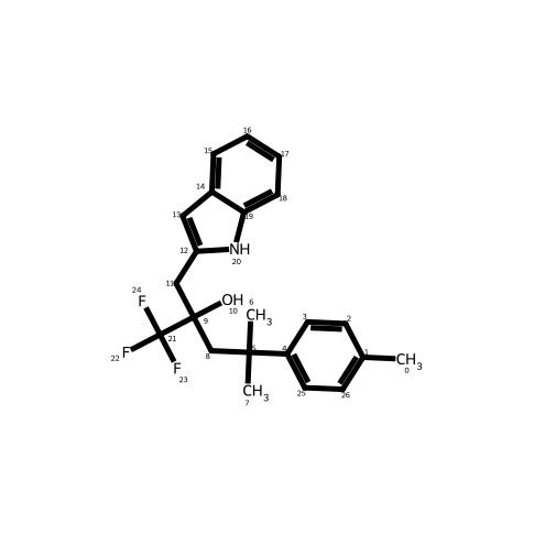 Cc1ccc(C(C)(C)CC(O)(Cc2cc3ccccc3[nH]2)C(F)(F)F)cc1